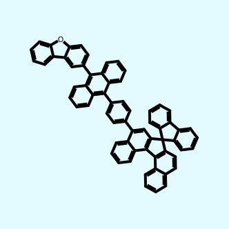 c1ccc2c(c1)-c1ccccc1C21c2ccc3ccccc3c2-c2c1cc(-c1ccc(-c3c4ccccc4c(-c4ccc5oc6ccccc6c5c4)c4ccccc34)cc1)c1ccccc21